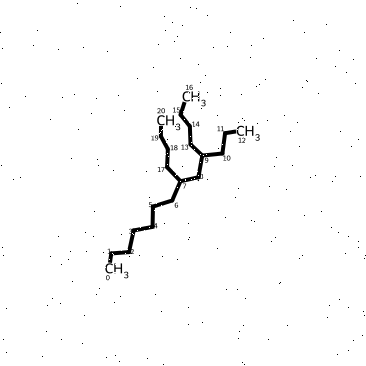 CCCCCCCC([CH]C(CCC)CCCC)CCCC